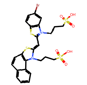 O=S(=O)(O)CCCN1C(=Cc2sc3ccc(Br)cc3[n+]2CCCS(=O)(=O)O)Sc2ccc3ccccc3c21